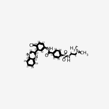 CN(C)CCNS(=O)(=O)c1ccc(C(=O)Nc2ccc(Cl)c(-c3cnc4ccccc4n3)c2)cc1